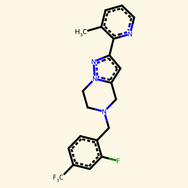 Cc1cccnc1-c1cc2n(n1)CCN(Cc1ccc(C(F)(F)F)cc1F)C2